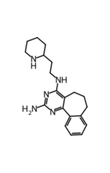 Nc1nc(NCCC2CCCCN2)c2c(n1)-c1ccccc1CCC2